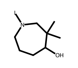 CC1(C)CN(I)CCCC1O